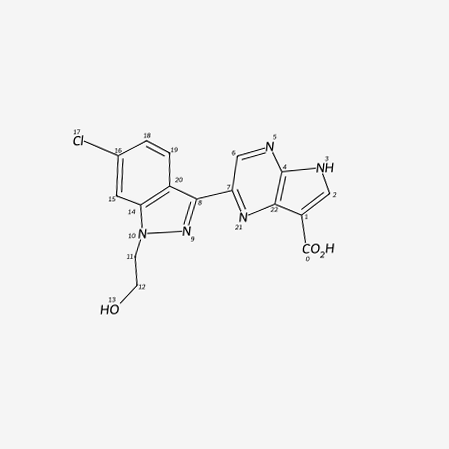 O=C(O)c1c[nH]c2ncc(-c3nn(CCO)c4cc(Cl)ccc34)nc12